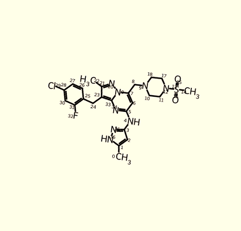 Cc1cc(Nc2cc(CN3CCN(S(C)(=O)=O)CC3)n3nc(C)c(Cc4ccc(Cl)cc4F)c3n2)n[nH]1